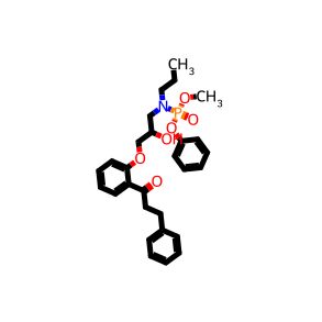 CCCN(CC(O)COc1ccccc1C(=O)CCc1ccccc1)P(=O)(OC)Oc1ccccc1